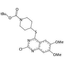 COc1cc2nc(Cl)nc(SC3CCN(C(=O)OC(C)(C)C)CC3)c2cc1OC